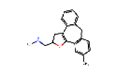 CNCC1CC2=C(O1)c1cc(C)ccc1Cc1ccccc12